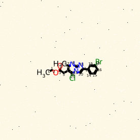 CCOC(=O)Cc1c(C)nc2nc(-c3cccc(Br)c3)cn2c1Cl